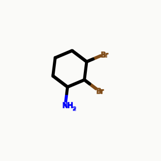 NC1CCCC(Br)C1Br